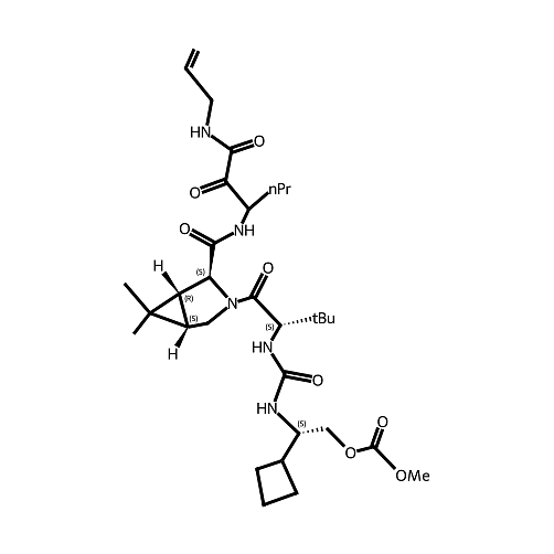 C=CCNC(=O)C(=O)C(CCC)NC(=O)[C@@H]1[C@@H]2[C@H](CN1C(=O)[C@@H](NC(=O)N[C@H](COC(=O)OC)C1CCC1)C(C)(C)C)C2(C)C